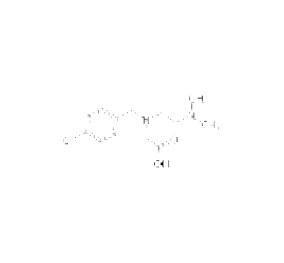 CN(C)CCN(CC(=O)O)Cc1ccc(Cl)cc1